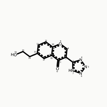 O=c1c(-c2nnn[nH]2)coc2ccc(CCO)cc12